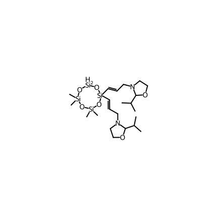 CC(C)C1OCCN1CC=C[Si]1(C=CCN2CCOC2C(C)C)O[SiH2]O[Si](C)(C)O[Si](C)(C)O1